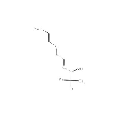 CCC(C)(C)C(O)OCCOCCOC